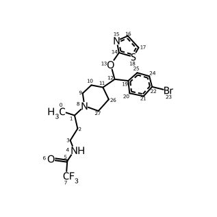 CC(CCNC(=O)C(F)(F)F)N1CCC(C(Oc2nccs2)c2ccc(Br)cc2)CC1